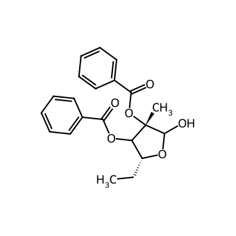 CC[C@H]1OC(O)[C@@](C)(OC(=O)c2ccccc2)C1OC(=O)c1ccccc1